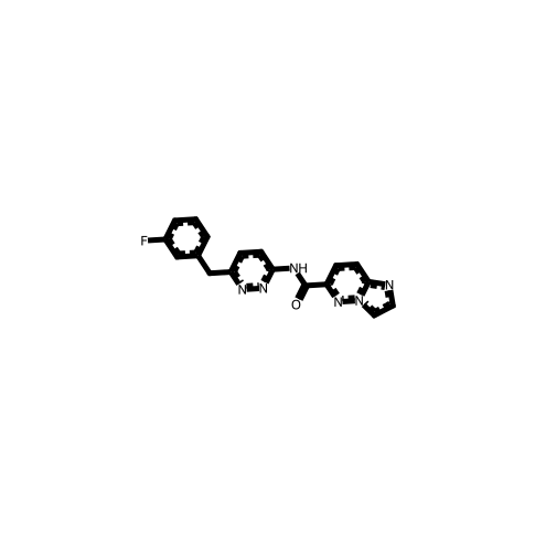 O=C(Nc1ccc(Cc2cccc(F)c2)nn1)c1ccc2nccn2n1